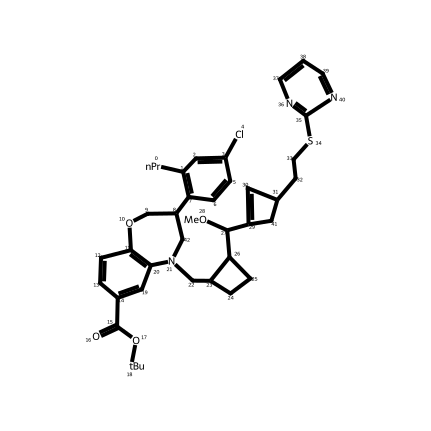 CCCc1cc(Cl)ccc1C1COc2ccc(C(=O)OC(C)(C)C)cc2N(CC2CCC2C(OC)C2=CC(CCSc3ncccn3)C2)C1